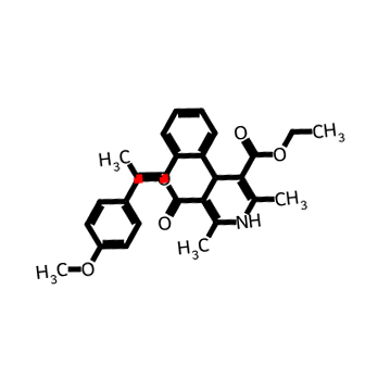 CCOC(=O)C1=C(C)NC(C)=C(C(=O)OCC)C1c1ccccc1C=Cc1ccc(OC)cc1